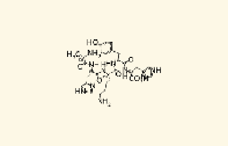 C[C@H](N)C(=O)N[C@@H](Cc1c[nH]cn1)C(=O)N[C@@H](CCCCN)C(=O)N[C@@H](Cc1ccc(O)cc1)C(=O)N[C@@H](Cc1c[nH]cn1)C(=O)O